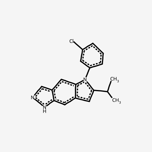 CC(C)c1cc2cc3[nH]ncc3cc2n1-c1cccc(Cl)c1